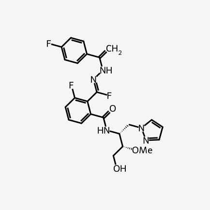 C=C(N/N=C(\F)c1c(F)cccc1C(=O)N[C@H](Cn1cccn1)[C@@H](CO)OC)c1ccc(F)cc1